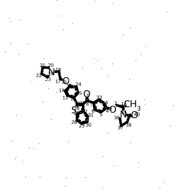 C[C@H](COc1ccc(C(=O)c2c(-c3ccc(OCCN4CCCC4)cc3)sc3ccccc23)cc1)N1CCCC1=O